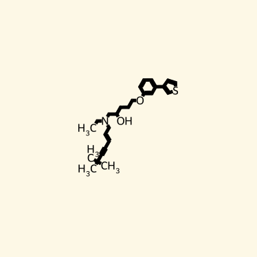 CCN(C/C=C/C#CC(C)(C)C)CC(O)CCCOc1cccc(-c2ccsc2)c1